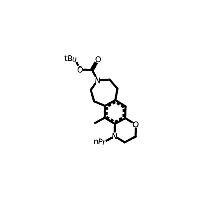 CCCN1CCOc2cc3c(c(C)c21)CCN(C(=O)OC(C)(C)C)CC3